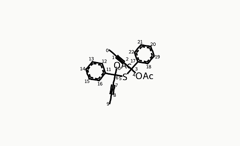 CC#CC(OC(C)=O)(SC(C#CC)(OC(C)=O)c1ccccc1)c1ccccc1